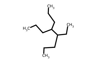 CCCC(CC)C(CCC)CCC